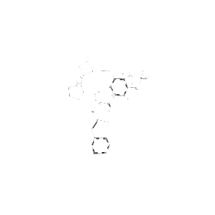 COc1cc(C(=O)N(C/C(C)=C/c2ccccc2)C[C@@H]2CCCN2C2CCC2)cc2c1OC(C)(C)O2